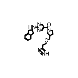 O=C(c1cnc(NC2Cc3ccccc3C2)nc1)N1CCC(COCCc2c[nH]nn2)C1